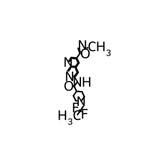 Cc1ncc(-c2cnc3cnc(NC(=O)C4CCN(CC(C)(F)F)CC4)cc3c2)o1